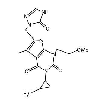 COCCn1c(=O)n(C2CC2C(F)(F)F)c(=O)c2c(C)c(Cn3nc[nH]c3=O)sc21